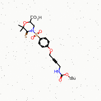 CC(C)(C)OC(=O)NCC#CCOc1ccc(S(=O)(=O)N2CC(C(=O)O)OC(C)(C)C2=S)cc1